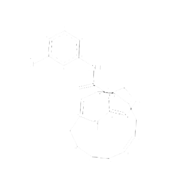 S=C(Nc1cccc(Cl)c1)N1CCN=C1N/C1=C\CCCC/C=C\CCCC1